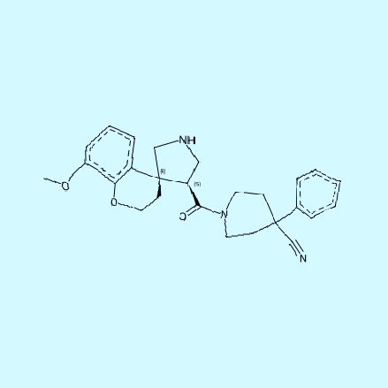 COc1cccc2c1OCC[C@]21CNC[C@H]1C(=O)N1CCC(C#N)(c2ccccc2)CC1